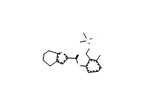 CC(C)(C)[Si](C)(C)OCc1c(Br)cccc1NC(=O)c1cc2c(s1)CCCC2